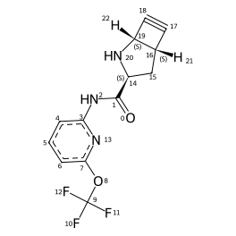 O=C(Nc1cccc(OC(F)(F)F)n1)[C@@H]1C[C@H]2C#C[C@H]2N1